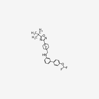 CC(C)(C)c1nc(C23CCC(CNc4cccc(-c5ccc(OC(F)F)cc5)c4)(CC2)CC3)no1